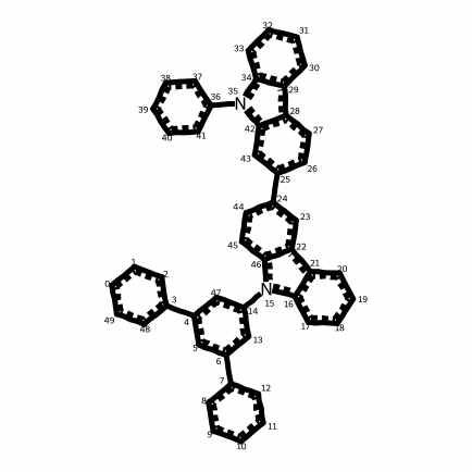 c1ccc(-c2cc(-c3ccccc3)cc(-n3c4ccccc4c4cc(-c5ccc6c7ccccc7n(-c7ccccc7)c6c5)ccc43)c2)cc1